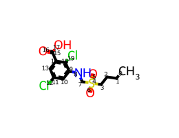 CCCCS(=O)(=O)CNc1cc(Cl)cc(C(=O)O)c1Cl